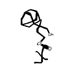 CCC(C)(C)C(=O)OCCC(C)(CO)C12CC3CC(CC(C3)C1)C2